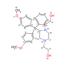 COc1ccc(C(c2ccccc2)(c2ccc(OC)cc2)C2CN(CCO)CCN2CCO)cc1